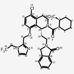 O=C(O)[C@H]1CCCC[C@H]1C(=O)N1CCc2c(Cl)ccc(OCc3nccn3CC(F)(F)F)c2[C@H]1CCN1Cc2ccccc2C1=O